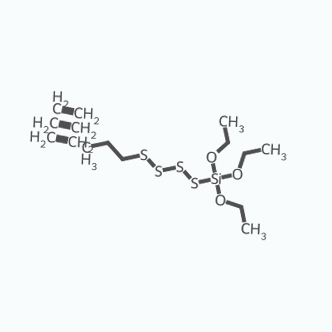 C=C.C=C.C=C.CCCSSSS[Si](OCC)(OCC)OCC